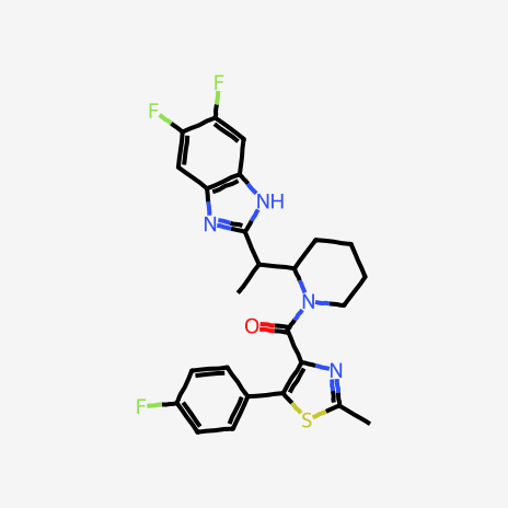 Cc1nc(C(=O)N2CCCCC2C(C)c2nc3cc(F)c(F)cc3[nH]2)c(-c2ccc(F)cc2)s1